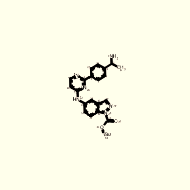 CC(N)c1ccc(-c2nccc(Nc3ccc4c(cnn4C(=O)OC(C)(C)C)c3)n2)cc1